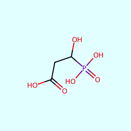 O=C(O)CC(O)P(=O)(O)O